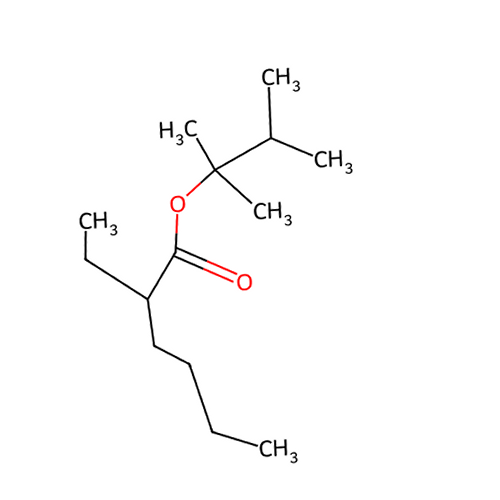 CCCCC(CC)C(=O)OC(C)(C)C(C)C